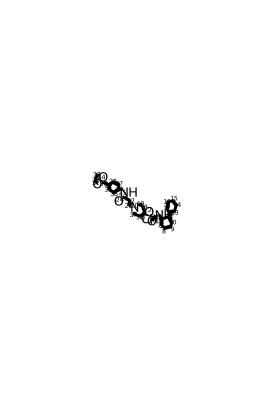 CC1(OC(=O)Nc2ccccc2-c2ccccc2)CCN(CCC(=O)Nc2ccc(C3OCCO3)cc2)CC1